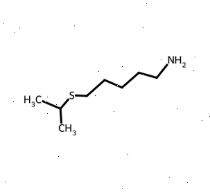 CC(C)SCCCCCN